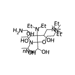 CCCCCCCCCC(O)C(OCC[N+](C)(C)C)(N(C(C)O)C(C)O)C(C(O)CN)(C(O)CN(CC)CC)N(CC)CC